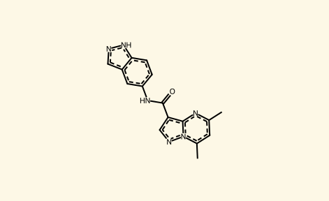 Cc1cc(C)n2ncc(C(=O)Nc3ccc4[nH]ncc4c3)c2n1